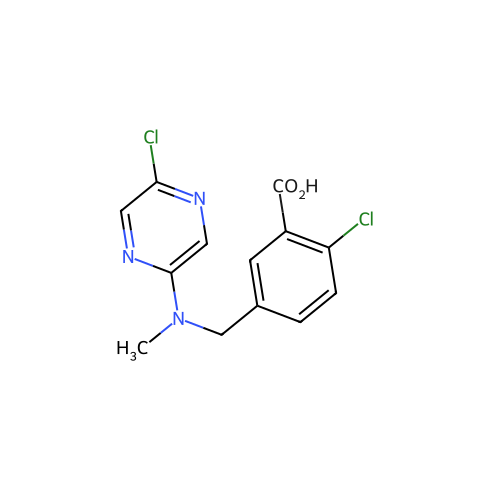 CN(Cc1ccc(Cl)c(C(=O)O)c1)c1cnc(Cl)cn1